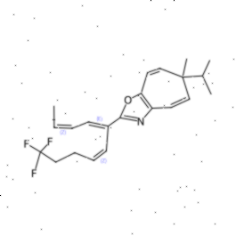 C\C=C/C=C(\C=C/CCC(F)(F)F)c1nc2c(o1)C=CC(C)(C(C)C)C=C2